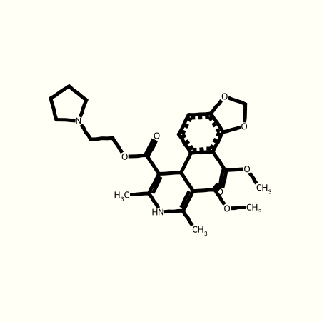 COC(=O)C1=C(C)NC(C)=C(C(=O)OCCN2CCCC2)C1c1ccc2c(c1C(=O)OC)OCO2